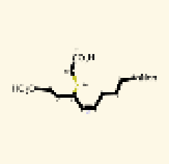 CCCCCCCCCCCC/C=C\C(CCC(=O)O)SCC(=O)O